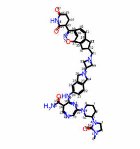 CN1CCN(C2CCCN(C3=CN=CC(C(N)=O)C(Nc4ccc5c(c4)CN(C4CN(CC6CC7=C(C6)C6C=C(C=C7)C(C7CCC(=O)NC7=O)=NO6)C4)C5)=N3)C2)C1=O